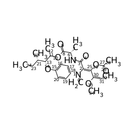 C=N/C(C(=O)N[C@@H](C)C(=O)O[C@@H](C)[C@H](Oc1ccccc1)[C@@H](C)CC)=C(OC(C)=O)\C(=C/C)OC